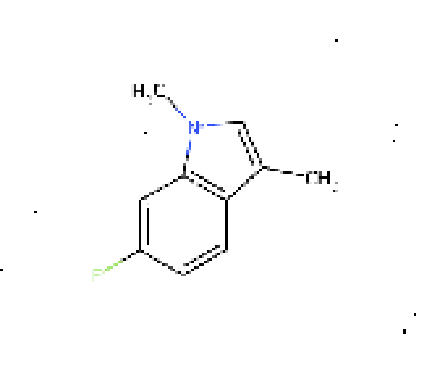 Cc1cn(C)c2cc(F)ccc12